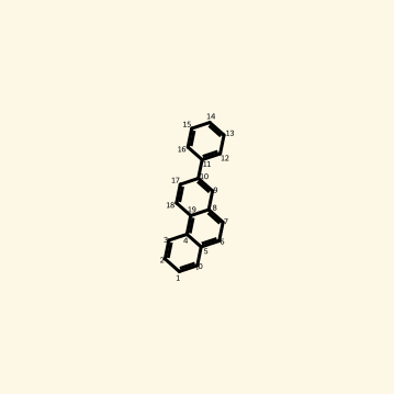 [c]1cccc2c1ccc1cc(-c3ccccc3)ccc12